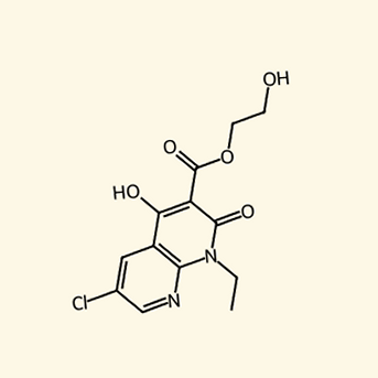 CCn1c(=O)c(C(=O)OCCO)c(O)c2cc(Cl)cnc21